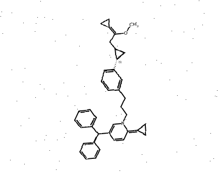 COC(CC1C[C@@H]1c1cccc(CCCN2C=C(C(c3ccccc3)c3ccccc3)C=CC2=C2CC2)c1)=C1CC1